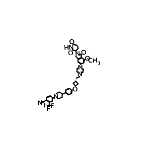 COc1cc(N2CCN(CC[C@H]3C[C@@H](Oc4ccc(C5CCN(c6ccc(C#N)c(C(F)(F)F)c6)CC5)cc4)C3)CC2)cc2c1C(=O)N(C1CCC(=O)NC1=O)C2